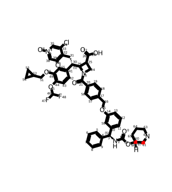 O=C(N[C@@H](c1ccccc1)c1cccc(OCc2ccc(C(=O)N3CC(C(=O)O)C3[C@@H](Cc3c(Cl)c[n+]([O-])cc3Cl)c3ccc(OC(F)F)c(OCC4CC4)c3)cc2)c1)O[C@H]1CN2CCC1CC2